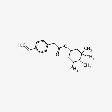 C=Cc1ccc(CC(=O)OC2CC(C)N(C)C(C)(C)C2)cc1